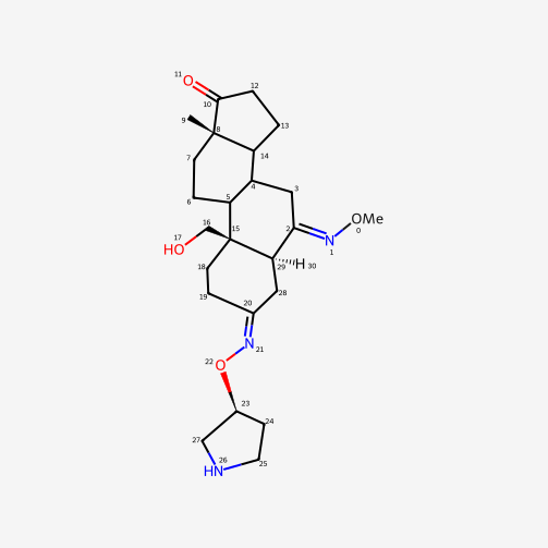 CON=C1CC2C(CC[C@]3(C)C(=O)CCC23)[C@@]2(CO)CCC(=NO[C@H]3CCNC3)C[C@H]12